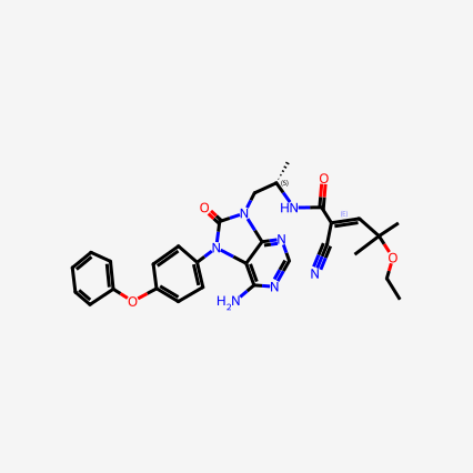 CCOC(C)(C)/C=C(\C#N)C(=O)N[C@@H](C)Cn1c(=O)n(-c2ccc(Oc3ccccc3)cc2)c2c(N)ncnc21